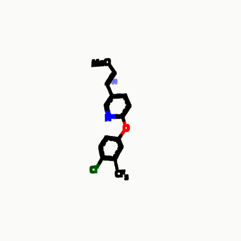 CO/C=C/c1ccc(Oc2ccc(Cl)c(C(F)(F)F)c2)nc1